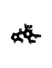 COc1cc(NC2CCOC2=O)c(C(=O)O)cc1OC